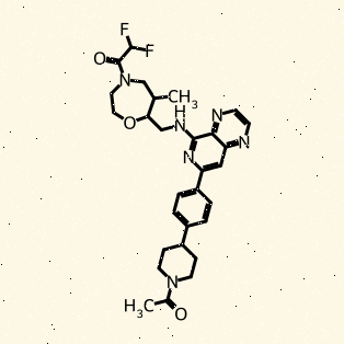 CC(=O)N1CCC(c2ccc(-c3cc4nccnc4c(NCC4OCCN(C(=O)C(F)F)CC4C)n3)cc2)CC1